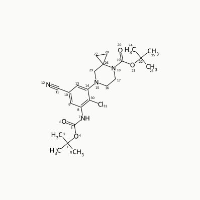 CC(C)(C)OC(=O)Nc1cc(C#N)cc(N2CCN(C(=O)OC(C)(C)C)C3(CC3)C2)c1Cl